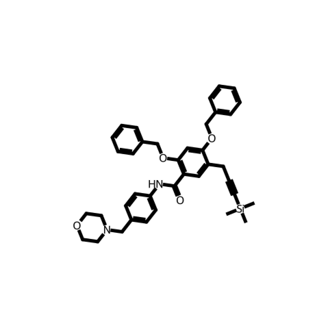 C[Si](C)(C)C#CCc1cc(C(=O)Nc2ccc(CN3CCOCC3)cc2)c(OCc2ccccc2)cc1OCc1ccccc1